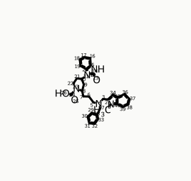 Cn1c(CN(CCCC2CC(n3c(=O)[nH]c4ccccc43)CCN2C(=O)O)Cc2ccccc2)cc2ccccc21